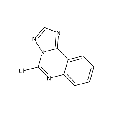 Clc1nc2ccccc2c2ncnn12